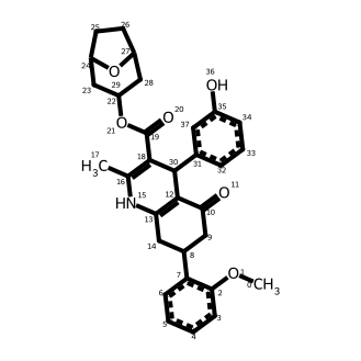 COc1ccccc1C1CC(=O)C2=C(C1)NC(C)=C(C(=O)OC1CC3CCC(C1)O3)C2c1cccc(O)c1